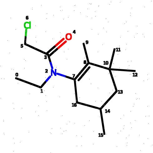 CCN(C(=O)CCl)C1=C(C)C(C)(C)CC(C)C1